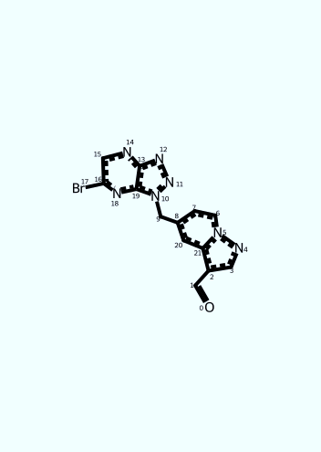 O=Cc1cnn2ccc(Cn3nnc4ncc(Br)nc43)cc12